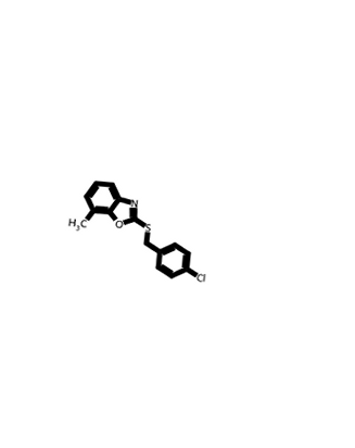 Cc1cccc2nc(SCc3ccc(Cl)cc3)oc12